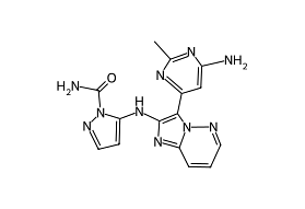 Cc1nc(N)cc(-c2c(Nc3ccnn3C(N)=O)nc3cccnn23)n1